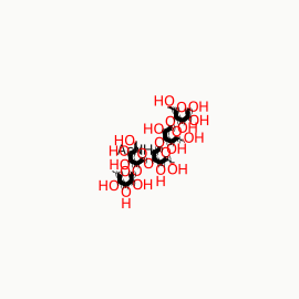 CC(=O)N[C@H]1[C@H](O[C@H]2[C@@H](O)[C@@H](CO)O[C@@H](O[C@H]3[C@H](O)[C@@H](O)[C@H](O)O[C@@H]3CO)[C@@H]2O)O[C@H](CO)[C@@H](O)[C@@H]1O[C@@H]1O[C@H](CO)[C@H](O)[C@H](O)[C@H]1O[C@@H]1O[C@@H](C)[C@@H](O)[C@@H](O)[C@@H]1O